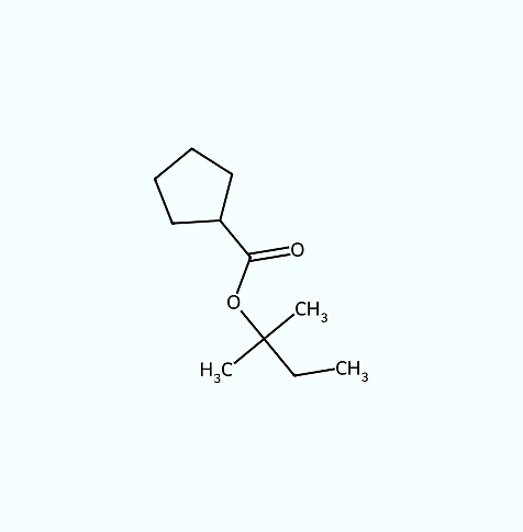 CCC(C)(C)OC(=O)C1CCCC1